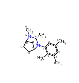 Cc1cc(C)c(C)c(N2C3CCC(C3)N(C)[C@@H]2C)c1